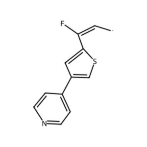 [CH2]/C=C(/F)c1cc(-c2ccncc2)cs1